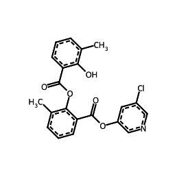 Cc1cccc(C(=O)Oc2c(C)cccc2C(=O)Oc2cncc(Cl)c2)c1O